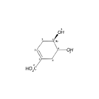 O=C(O)C1=CC[C@@H](O)C(O)C1